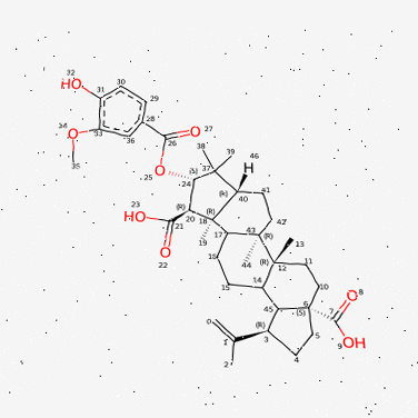 C=C(C)[C@@H]1CC[C@]2(C(=O)O)CC[C@]3(C)C(CCC4[C@@]5(C)[C@@H](C(=O)O)[C@H](OC(=O)c6ccc(O)c(OC)c6)C(C)(C)[C@@H]5CC[C@]43C)C12